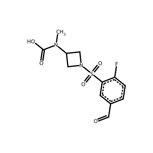 CN(C(=O)O)C1CN(S(=O)(=O)c2cc(C=O)ccc2F)C1